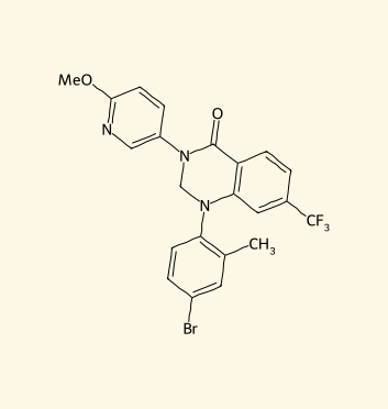 COc1ccc(N2CN(c3ccc(Br)cc3C)c3cc(C(F)(F)F)ccc3C2=O)cn1